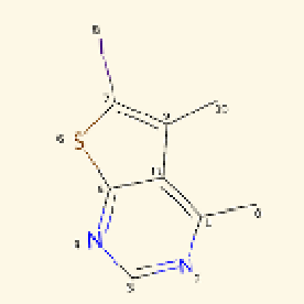 Cc1ncnc2sc(I)c(C)c12